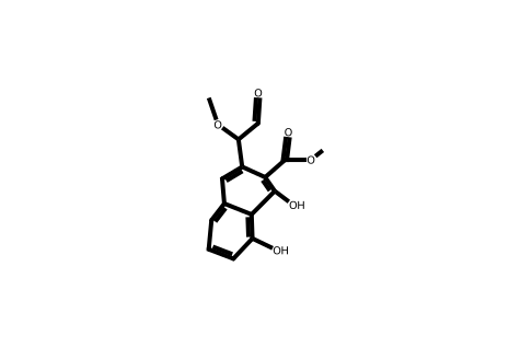 COC(=O)c1c(C(C=O)OC)cc2cccc(O)c2c1O